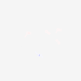 C[C@H](CO)C(N)CCS(=O)(=O)O